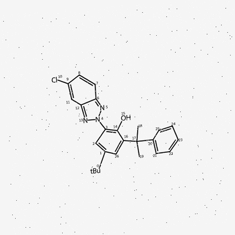 CC(C)(C)c1cc(-n2nc3ccc(Cl)cc3n2)c(O)c(C(C)(C)c2ccccc2)c1